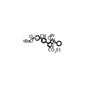 CCOC(=O)c1cc(-c2ccc(C3(C#N)CCN(C(=O)OC(C)(C)C)CC3)cc2)c2c(OC(C)C)nn(C3CCCCC3)c2n1